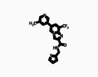 Cc1cncc(-c2cc(C(F)(F)F)c3nc(C(=O)NCc4cccs4)cn3c2)c1